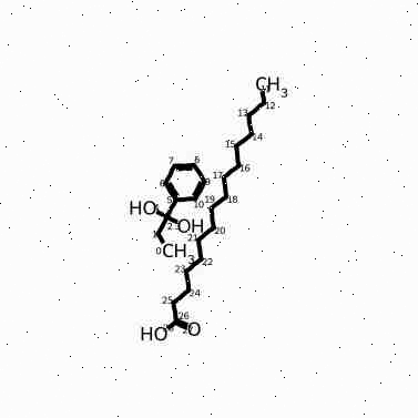 CCC(O)(O)c1ccccc1.CCCCCCCCCCCCCCCC(=O)O